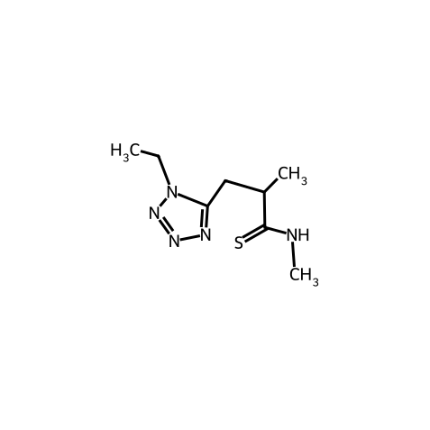 CCn1nnnc1CC(C)C(=S)NC